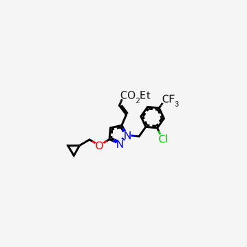 CCOC(=O)C=Cc1cc(OCC2CC2)nn1Cc1ccc(C(F)(F)F)cc1Cl